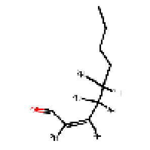 [2H]C(C=O)=C([2H])C([2H])([2H])C([2H])([2H])CCCC